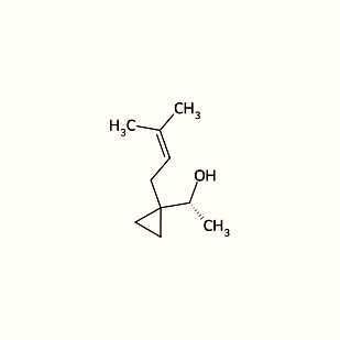 CC(C)=CCC1([C@@H](C)O)CC1